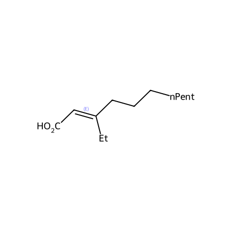 CCCCCCCC/C(=C/C(=O)O)CC